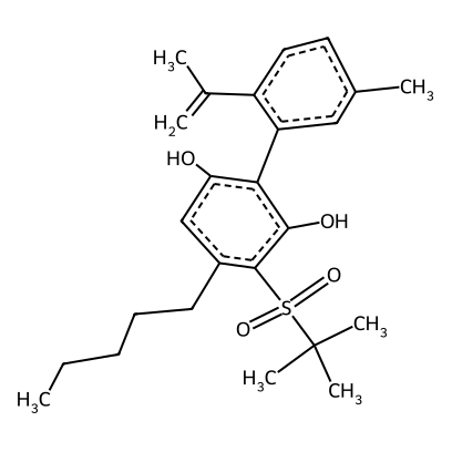 C=C(C)c1ccc(C)cc1-c1c(O)cc(CCCCC)c(S(=O)(=O)C(C)(C)C)c1O